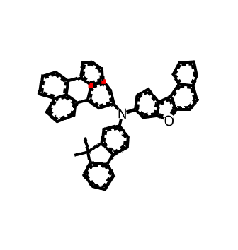 CC1(C)c2ccccc2-c2ccc(N(c3cccc(-c4cccc5cccc(-c6ccccc6)c45)c3)c3ccc4c(c3)oc3ccc5ccccc5c34)cc21